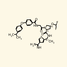 CC(C)c1ccc(Oc2ccc(C(=O)NCC(=O)N3C[C@H](OC(F)F)C[C@H]3C(=O)N[C@H](C)c3cc(C(=N)N)cs3)cc2)cc1